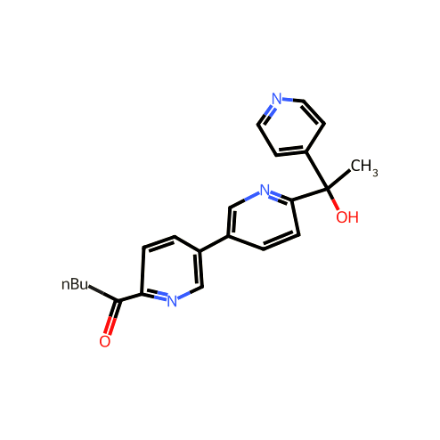 CCCCC(=O)c1ccc(-c2ccc(C(C)(O)c3ccncc3)nc2)cn1